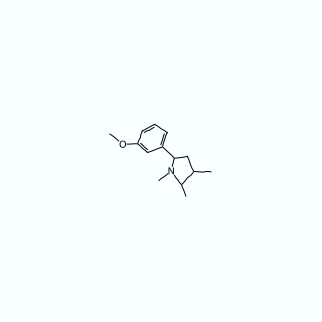 COc1cccc(C2CC(C)C(C)N2C)c1